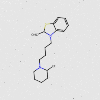 CCC1CCCCN1CCCCN1c2ccccc2SC1C=O